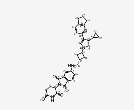 O=C1CCC(N2C(=O)c3ccc(NC[C@H]4C[C@H](n5cc(-c6ccc7c(n6)CCC7)c(C6CC6)n5)C4)cc3C2=O)C(=O)N1